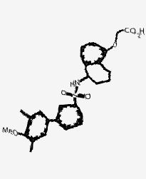 COc1c(C)cc(-c2cccc(S(=O)(=O)NC3CCCc4c(OCC(=O)O)cccc43)c2)cc1C